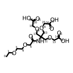 CCOCCOCC(=O)NC(COCC(=O)O)(COCC(=O)O)COCC(=O)O